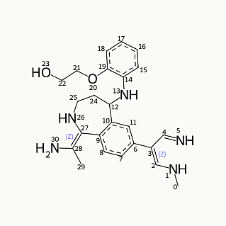 CN/C=C(\C=N)c1ccc2c(c1)C(Nc1ccccc1OCCO)CCN/C2=C(/C)N